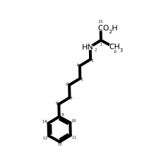 CC(NCCCCCCc1ccccc1)C(=O)O